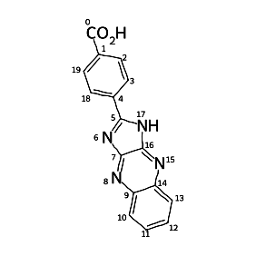 O=C(O)c1ccc(-c2nc3nc4ccccc4nc3[nH]2)cc1